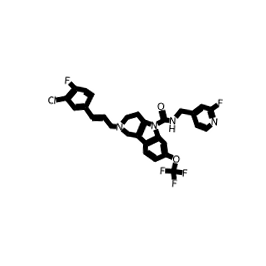 O=C(NCc1ccnc(F)c1)n1c2c(c3ccc(OC(F)(F)F)cc31)CN(CC=Cc1ccc(F)c(Cl)c1)CC2